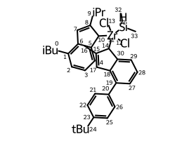 CCC(C)c1cccc2c1C=C(C(C)C)[CH]2[Zr]([Cl])([Cl])([CH]1C(C)=Cc2c(-c3ccc(C(C)(C)C)cc3)cccc21)[SiH](C)C